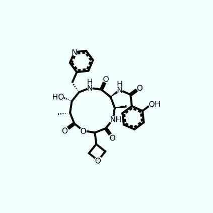 C[C@H]1NC(=O)C(C2COC2)OC(=O)[C@H](C)[C@H](O)[C@H](Cc2cccnc2)NC(=O)[C@H]1NC(=O)c1ccccc1O